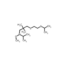 CON(CC(C)(C)CSCCSC(C)C)C(C)C